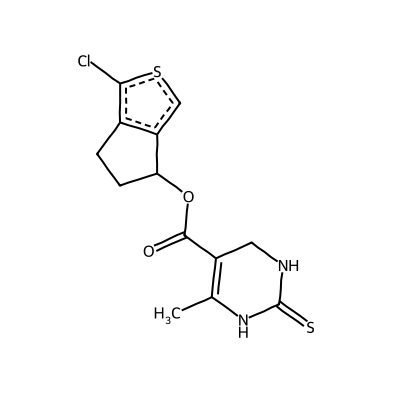 CC1=C(C(=O)OC2CCc3c2csc3Cl)CNC(=S)N1